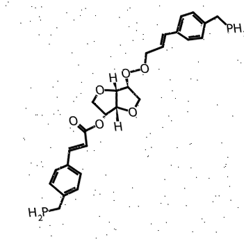 O=C(/C=C/c1ccc(CP)cc1)O[C@@H]1CO[C@H]2[C@@H]1OC[C@@H]2OOC/C=C/c1ccc(CP)cc1